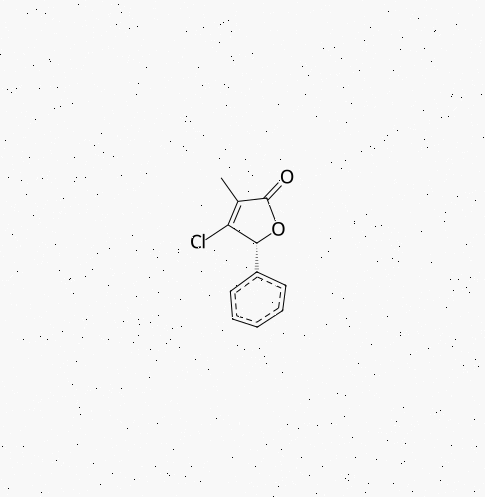 CC1=C(Cl)[C@@H](c2ccccc2)OC1=O